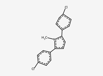 Cn1c(-c2ccc(Cl)cc2)ccc1-c1ccc(Cl)cc1